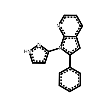 c1ccc(-c2cc3cccnc3n2-c2cc[nH]n2)cc1